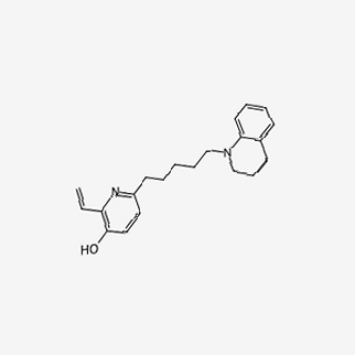 C=Cc1nc(CCCCCN2CCCc3ccccc32)ccc1O